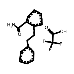 NC(=O)c1ccccc1CCc1ccccc1.O=C(O)C(F)(F)F